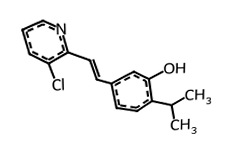 CC(C)c1ccc(/C=C/c2ncccc2Cl)cc1O